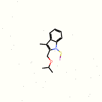 Cc1c(COC(C)C)n(SI)c2ccccc12